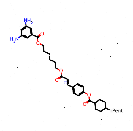 CCCCCC1CCC(C(=O)Oc2ccc(/C=C/C(=O)OCCCCCCOC(=O)c3cc(N)cc(N)c3)cc2)CC1